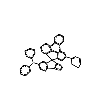 C1=CCCC(c2cc3c4c(c2)c2ccccc2c2cccc(c24)C32c3ccccc3-c3ccc(N(c4ccccc4)c4ccccc4)cc32)=C1